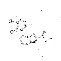 COC(=O)c1cc2c(-c3cccc(Cl)c3Cl)cccc2s1